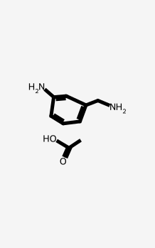 CC(=O)O.NCc1cccc(N)c1